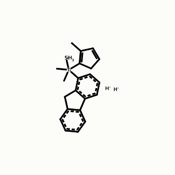 CC1=[C]([Ti]([CH3])([CH3])([SiH3])[c]2cccc3c2Cc2ccccc2-3)CC=C1.[H-].[H-]